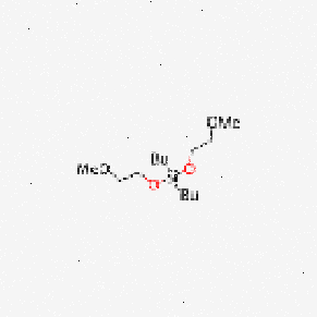 CCC(C)[Si](OCCOC)(OCCOC)C(C)CC